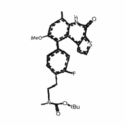 COc1cc(C)c2[nH]c(=O)c3sccc3c2c1-c1ccc(CCN(C)C(=O)OC(C)(C)C)c(F)c1